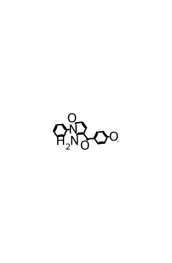 COc1ccc(C(=O)c2ccc(=O)n(-c3ccccc3)c2N)cc1